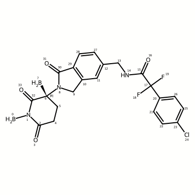 BN1C(=O)CC[C@@](B)(N2Cc3cc(CNC(=O)C(F)(F)c4ccc(Cl)cc4)ccc3C2=O)C1=O